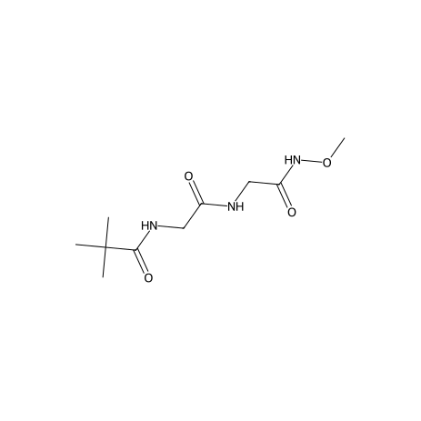 CONC(=O)CNC(=O)CNC(=O)C(C)(C)C